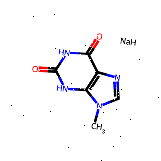 Cn1cnc2c(=O)[nH]c(=O)[nH]c21.[NaH]